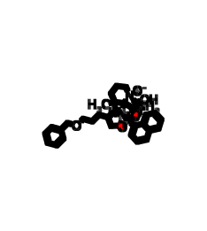 CC1(C2NCCC2CCCOCc2ccccc2)CCC[N+]([O-])(C(=O)O)C1(NS(=O)(=O)c1cccc2ccccc12)C(N)=O